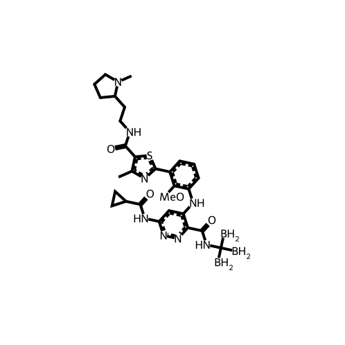 BC(B)(B)NC(=O)c1nnc(NC(=O)C2CC2)cc1Nc1cccc(-c2nc(C)c(C(=O)NCCC3CCCN3C)s2)c1OC